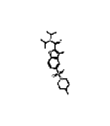 Cc1c(C(=O)N(C(C)C)C(C)C)oc2ccc(S(=O)(=O)N3CCC(C)CC3)cc12